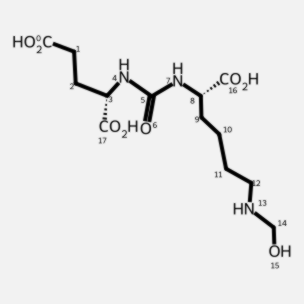 O=C(O)CC[C@H](NC(=O)N[C@@H](CCCCNCO)C(=O)O)C(=O)O